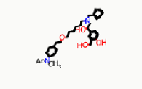 CC(=O)N(C)c1ccc(CCOCCCCCCN(Cc2ccccc2)CC(O)c2ccc(O)c(CO)c2)cc1